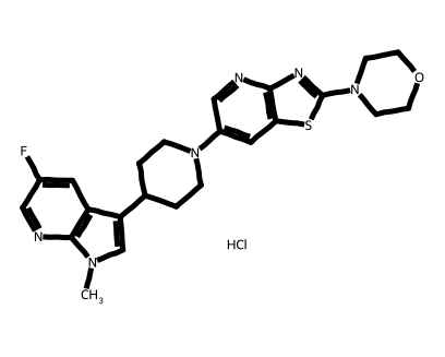 Cl.Cn1cc(C2CCN(c3cnc4nc(N5CCOCC5)sc4c3)CC2)c2cc(F)cnc21